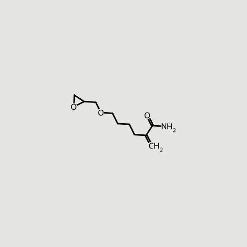 C=C(CCCCOCC1CO1)C(N)=O